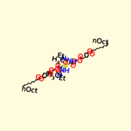 CCCCCCCC/C=C\CCCCCCCC(=O)Oc1ccc(CC(=O)OCCOC(=O)C(CSSCC(NC(=O)CN(C)CC)C(=O)OCCOC(=O)Cc2ccc(OC(=O)CCCCCCC/C=C\CCCCCCCC)cc2)NC(=O)CN(C)CC)cc1